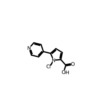 O=C(O)c1ccc(-c2ccncc2)n1Cl